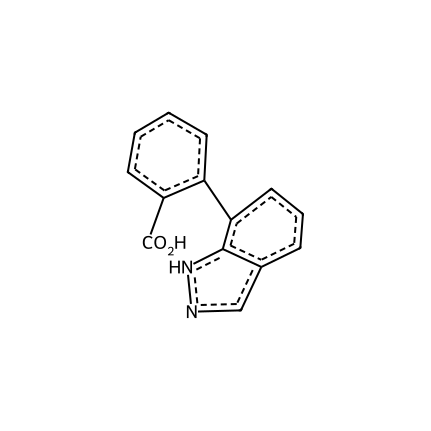 O=C(O)c1ccccc1-c1cccc2cn[nH]c12